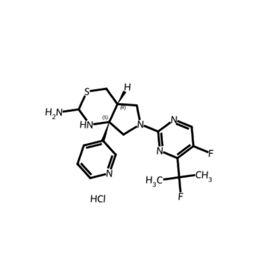 CC(C)(F)c1nc(N2C[C@H]3CSC(N)N[C@@]3(c3cccnc3)C2)ncc1F.Cl